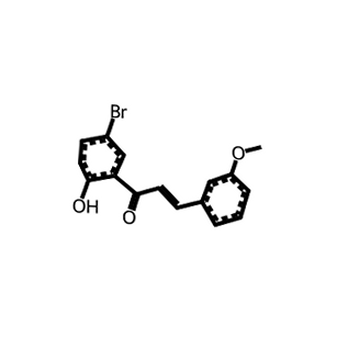 COc1cccc(/C=C/C(=O)c2cc(Br)ccc2O)c1